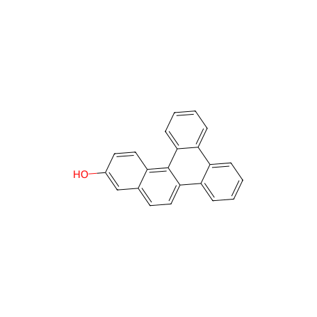 Oc1ccc2c(ccc3c4ccccc4c4ccccc4c23)c1